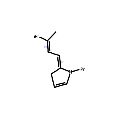 C/C(=C\C=C1/CC=CN1C(C)C)C(C)C